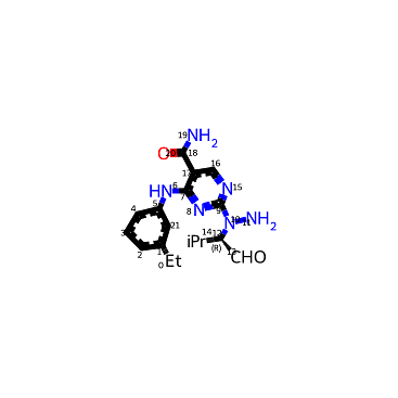 CCc1cccc(Nc2nc(N(N)[C@@H](C=O)C(C)C)ncc2C(N)=O)c1